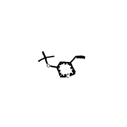 [CH]=Cc1cccc(OC(C)(C)C)c1